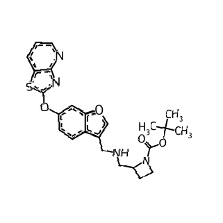 CC(C)(C)OC(=O)N1CCC1CNCc1coc2cc(Oc3nc4ncccc4s3)ccc12